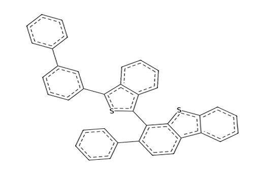 c1ccc(-c2cccc(-c3sc(-c4c(-c5ccccc5)ccc5c4sc4ccccc45)c4ccccc34)c2)cc1